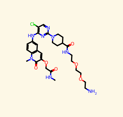 CNC(=O)COc1cc2cc(Nc3nc(N4CCC(C(=O)NCCOCCOCCN)CC4)ncc3Cl)ccc2n(C)c1=O